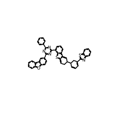 C1=CC(C2C=c3c(sc4c(-c5nc(-c6ccccc6)nc(-c6ccc7oc8ccccc8c7c6)n5)cccc34)=CC2)CC(c2nc3ccccc3s2)=C1